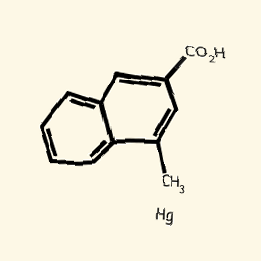 Cc1cc(C(=O)O)cc2ccccc12.[Hg]